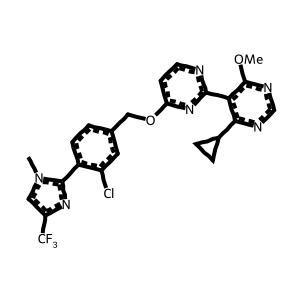 COc1ncnc(C2CC2)c1-c1nccc(OCc2ccc(-c3nc(C(F)(F)F)cn3C)c(Cl)c2)n1